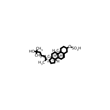 CC(CCCC(C)(C)O)[C@H]1CC[C@H]2[C@@H]3CC=C4CC(OS(=O)(=O)O)CC[C@]4(C)[C@H]3CC[C@]12C